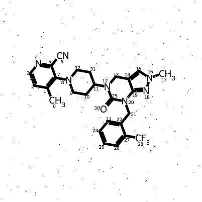 Cc1ccnc(C#N)c1N1CCC(N2Cc3cn(C)nc3N(Cc3ccccc3C(F)(F)F)C2=O)CC1